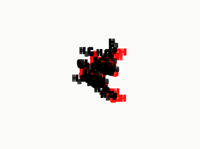 CCC(=O)O.CCC(=O)O.CCC(=O)O.CCC(=O)O.CCC(=O)OCC(=O)[C@@]1(OC(=O)CC)[C@@H](C)C[C@H]2[C@@H]3CCC4=CC(=O)C=C[C@]4(C)C3(F)[C@@H](O)C[C@@]21C.CCC(=O)OCC(=O)[C@@]1(OC(=O)CC)[C@@H](C)C[C@H]2[C@@H]3CCC4=CC(=O)C=C[C@]4(C)C3(F)[C@@H](O)C[C@@]21C